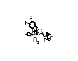 CC1(n2c(NC(=O)CC3(C(F)(F)F)CC3)nc3cc(F)c(F)cc32)CCC1